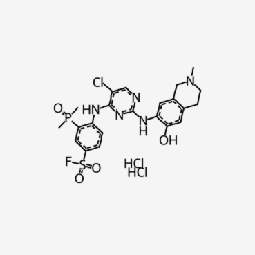 CN1CCc2cc(O)c(Nc3ncc(Cl)c(Nc4ccc(S(=O)(=O)F)cc4P(C)(C)=O)n3)cc2C1.Cl.Cl